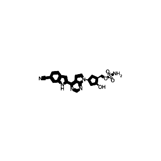 N#Cc1ccc2cc(-c3ncnc4c3ccn4[C@@H]3C[C@@H](COS(N)(=O)=O)[C@@H](O)C3)[nH]c2c1